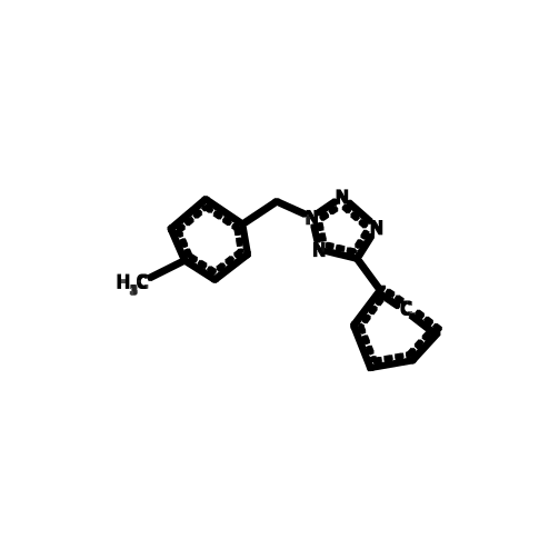 Cc1ccc(Cn2nnc(-c3ccccc3)n2)cc1